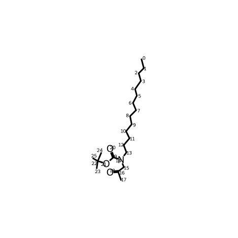 CCCCCCCCCCCCCCN(CC(C)=O)C(=O)OC(C)(C)C